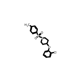 Cc1ccc(S(=O)(=O)N2CCC(Oc3ccccc3Cl)CC2)cc1